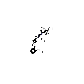 C=C/C(=C\C=C(/C)O[C@H]1C[C@@H](OCc2ccc(F)cc2C)C1)c1cc(O)no1